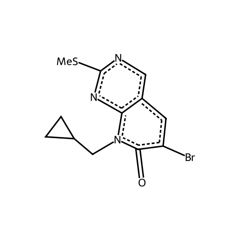 CSc1ncc2cc(Br)c(=O)n(CC3CC3)c2n1